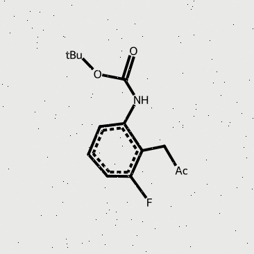 CC(=O)Cc1c(F)cccc1NC(=O)OC(C)(C)C